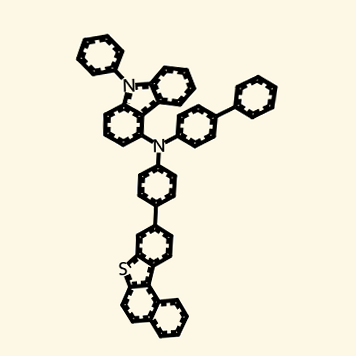 c1ccc(-c2ccc(N(c3ccc(-c4ccc5c(c4)sc4ccc6ccccc6c45)cc3)c3cccc4c3c3ccccc3n4-c3ccccc3)cc2)cc1